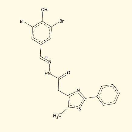 Cc1sc(-c2ccccc2)nc1CC(=O)N/N=C/c1cc(Br)c(O)c(Br)c1